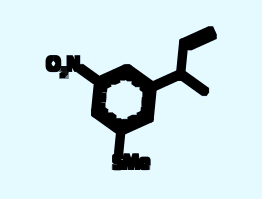 C=C[C](C)c1cc(SC)cc([N+](=O)[O-])c1